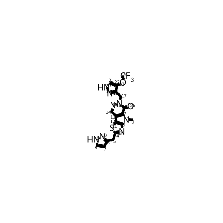 Cn1c2nc(Cc3cc[nH]n3)sc2c2cnn(Cc3n[nH]cc3OC(F)(F)F)c(=O)c21